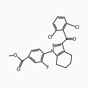 COC(=O)c1ccc(-n2nc(C(=O)c3c(Cl)cccc3Cl)c3c2CCCC3)c(F)c1